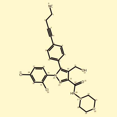 [C-]#[N+]CCC#Cc1ccc(-c2c(CO)c(C(=O)NN3CCOCC3)nn2-c2ccc(Cl)cc2Cl)cc1